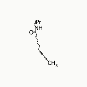 CC#CC#CCCCC/C=C/C(=O)NCC(C)C